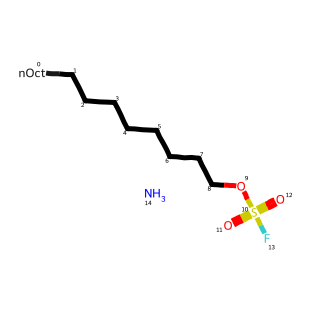 CCCCCCCCCCCCCCCCOS(=O)(=O)F.N